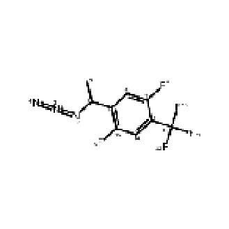 CC(N=[N+]=[N-])c1cc(F)c(C(F)(F)F)cc1F